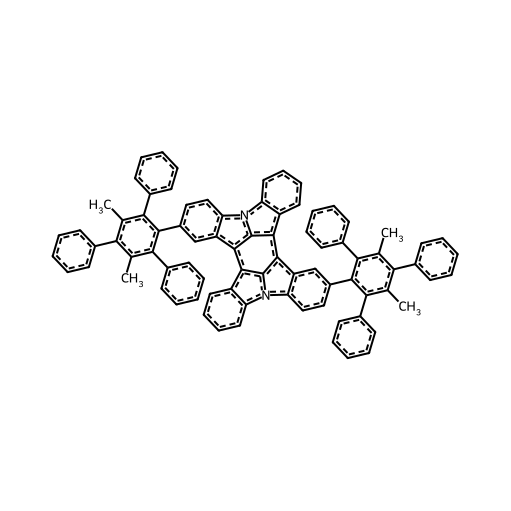 Cc1c(-c2ccccc2)c(C)c(-c2ccccc2)c(-c2ccc3c(c2)c2c4c5ccccc5n5c6ccc(-c7c(-c8ccccc8)c(C)c(-c8ccccc8)c(C)c7-c7ccccc7)cc6c(c6c7ccccc7n3c62)c45)c1-c1ccccc1